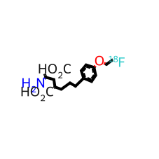 NC(CC(CCCc1ccc(OCC[18F])cc1)C(=O)O)C(=O)O